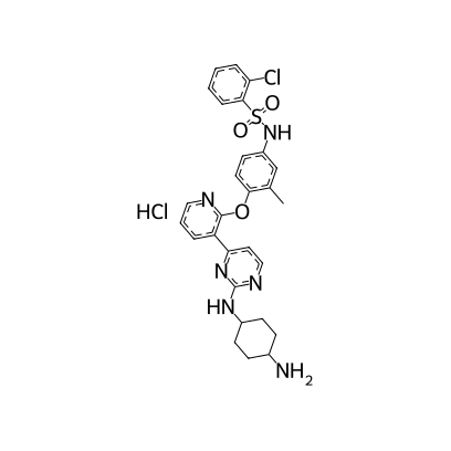 Cc1cc(NS(=O)(=O)c2ccccc2Cl)ccc1Oc1ncccc1-c1ccnc(NC2CCC(N)CC2)n1.Cl